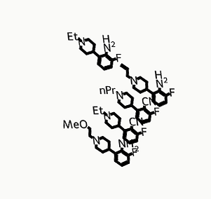 C=CCN1CCC(c2cccc(F)c2N)CC1.CCCN1CCC(c2cccc(F)c2C#N)CC1.CCN1CCC(c2cccc(F)c2C#N)CC1.CCN1CCC(c2cccc(F)c2N)CC1.COCCN1CCC(c2cccc(F)c2N)CC1